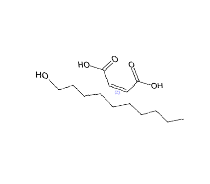 CCCCCCCCCCO.O=C(O)/C=C\C(=O)O